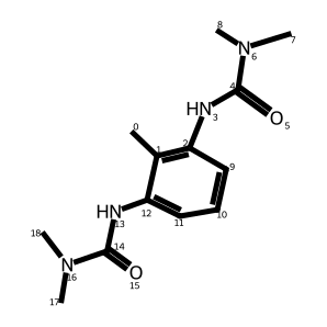 Cc1c(NC(=O)N(C)C)cccc1NC(=O)N(C)C